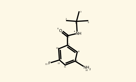 CC(C)(C)NC(=O)c1cc(N)cc(F)c1